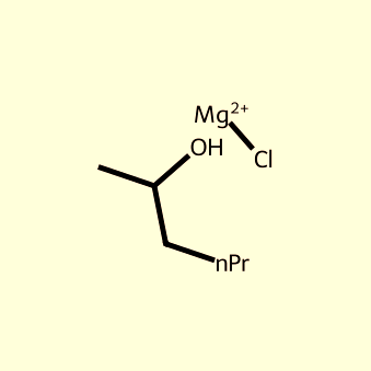 CCCCC(C)O.[Mg+2][Cl]